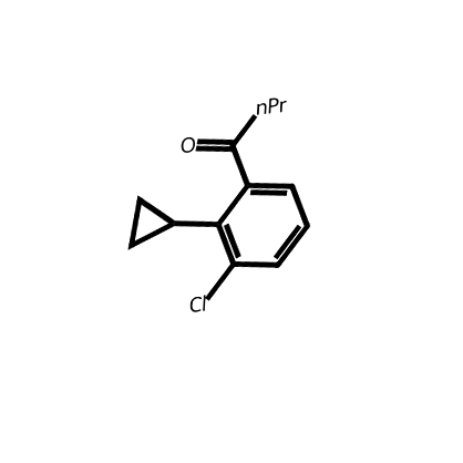 CCCC(=O)c1cccc(Cl)c1C1CC1